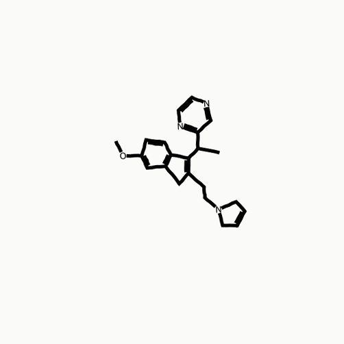 COc1ccc2c(c1)CC(CCN1CC=CC1)=C2C(C)c1cnccn1